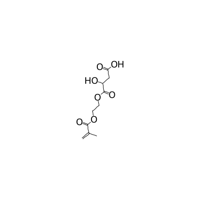 C=C(C)C(=O)OCCOC(=O)C(O)CC(=O)O